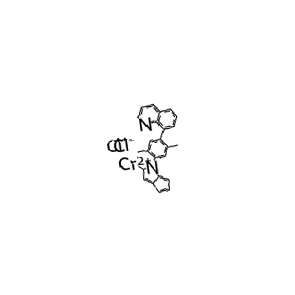 Cc1cc(N2C3=CC=CC3=C[CH]2[Cr+2])c(C)cc1-c1cccc2cccnc12.[Cl-].[Cl-]